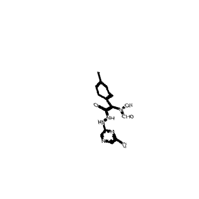 CC1CCC(C(C(=O)NNc2cncc(Cl)n2)N(O)C=O)CC1